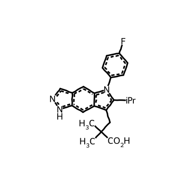 CC(C)c1c(CC(C)(C)C(=O)O)c2cc3[nH]ncc3cc2n1-c1ccc(F)cc1